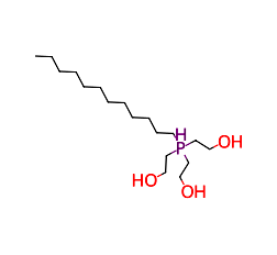 CCCCCCCCCCCC[PH](CCO)(CCO)CCO